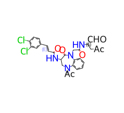 CC(=O)C[C@@H](C=O)NC(=O)CN1C(=O)C(NC(=O)/C=C/c2ccc(Cl)c(Cl)c2)CN(C(C)=O)c2ccccc21